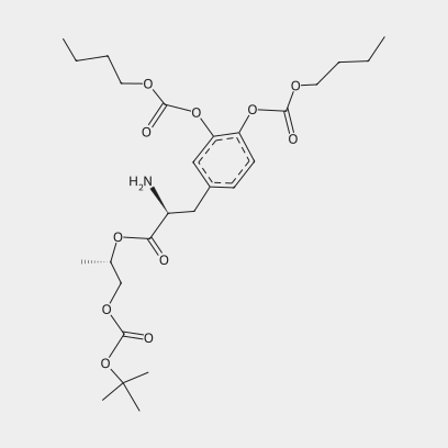 CCCCOC(=O)Oc1ccc(C[C@H](N)C(=O)O[C@@H](C)COC(=O)OC(C)(C)C)cc1OC(=O)OCCCC